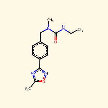 CN(Cc1ccc(-c2noc(C(F)(F)F)n2)cc1)C(=O)NCC(F)(F)F